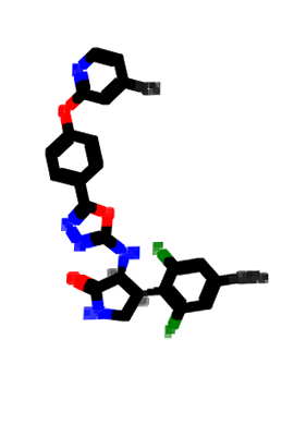 COc1cc(F)c([C@@H]2CNC(=O)[C@H]2Nc2nnc(-c3ccc(Oc4cc(C#N)ccn4)cc3)o2)c(F)c1